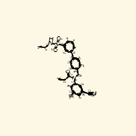 CCNS(=O)(=O)c1cccc(-c2ccc(CN(C(=O)CC)c3cc(F)cc(C#N)c3)cc2)c1